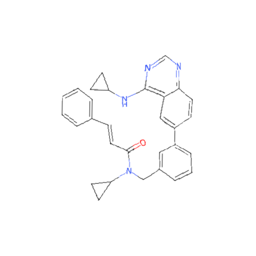 O=C(C=Cc1ccccc1)N(Cc1cccc(-c2ccc3ncnc(NC4CC4)c3c2)c1)C1CC1